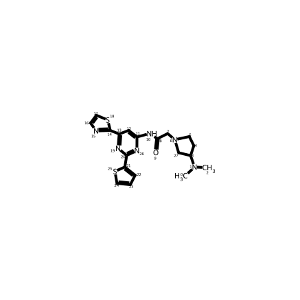 CN(C)C1CCN(CC(=O)Nc2cc(-c3nccs3)nc(-c3cccs3)n2)C1